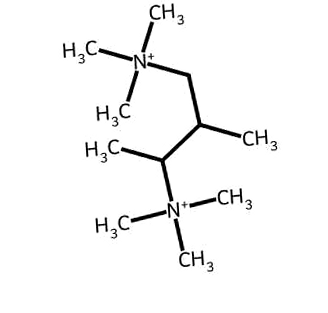 CC(C[N+](C)(C)C)C(C)[N+](C)(C)C